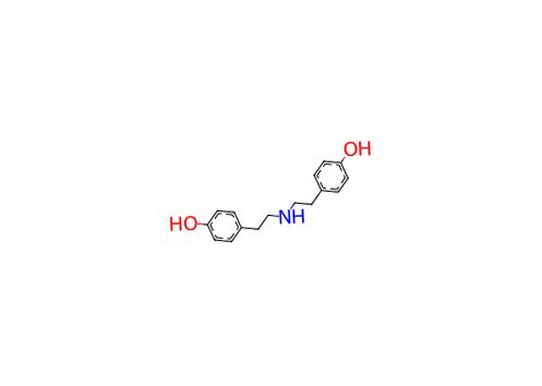 Oc1ccc(CCNCCc2ccc(O)cc2)cc1